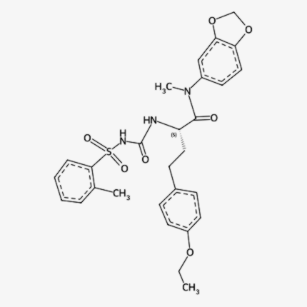 CCOc1ccc(CC[C@H](NC(=O)NS(=O)(=O)c2ccccc2C)C(=O)N(C)c2ccc3c(c2)OCO3)cc1